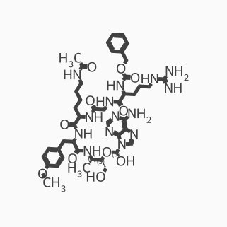 COc1ccc(CC(NC(=O)C(CCCCNC(C)=O)NC(=O)CNC(=O)C(CCCNC(=N)N)NC(=O)OCc2ccccc2)C(=O)N[C@H](C)[C@@H](CO)O[C@H](O)n2cnc3c(N)ncnc32)cc1